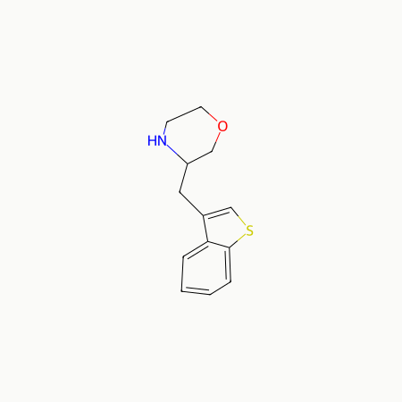 c1ccc2c(CC3COCCN3)csc2c1